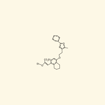 CCOC(=O)/C(=C\c1ccc(OCCc2nc(-c3ccccc3)oc2C)c2c1CCCC2)OCC